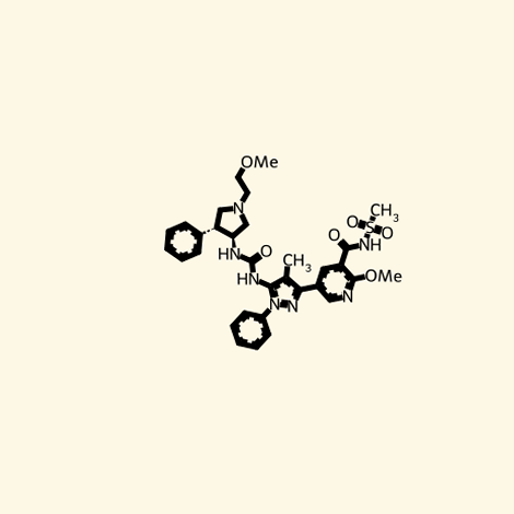 COCCN1C[C@@H](NC(=O)Nc2c(C)c(-c3cnc(OC)c(C(=O)NS(C)(=O)=O)c3)nn2-c2ccccc2)[C@H](c2ccccc2)C1